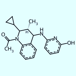 CC(=O)N1c2ccccc2C(Nc2cccc(O)n2)[C@@H](C)C1C1CC1